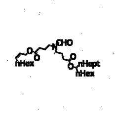 CCCCCC/C=C\COC(=O)CCCN(C=O)CCCC(=O)OC(CCCCCC)CCCCCCC